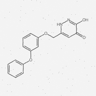 O=c1cc(COc2cccc(Oc3ccccc3)c2)[nH]nc1O